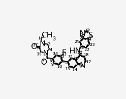 CCN1CCN(C(=O)c2ccc(-c3ccc4nccc(Nc5ccc6scnc6c5)c4c3)c(F)c2)CC1=O